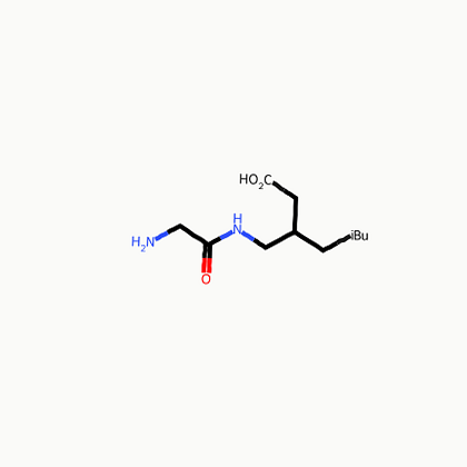 CCC(C)CC(CNC(=O)CN)CC(=O)O